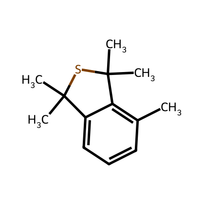 Cc1cccc2c1C(C)(C)SC2(C)C